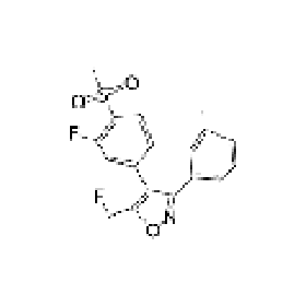 Cc1cccc(-c2noc(CF)c2-c2ccc(S(C)(=O)=O)c(F)c2)c1